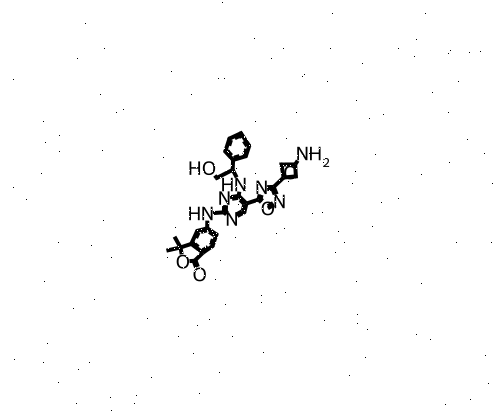 CC1(C)OC(=O)c2ccc(Nc3ncc(-c4nc(C56CC(N)(C5)C6)no4)c(NC(CO)c4ccccc4)n3)cc21